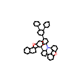 c1ccc(-c2ccc(-c3ccc(N(c4ccccc4-c4cccc5oc6c7ccccc7ccc6c45)c4cccc5oc6ccccc6c45)cc3)cc2-c2ccccc2)cc1